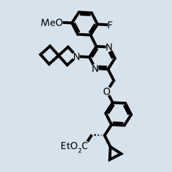 CCOC(=O)C[C@H](c1cccc(OCc2cnc(-c3cc(OC)ccc3F)c(N3CC4(CCC4)C3)n2)c1)C1CC1